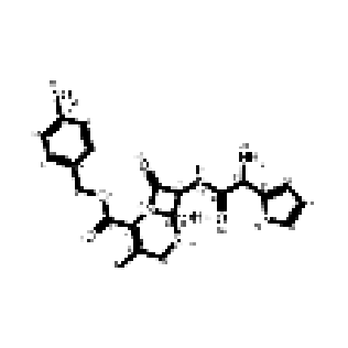 CC1=C(C(=O)OCc2ccc([N+](=O)[O-])cc2)N2C(=O)C(NC(=O)C(N)c3cccs3)[C@H]2SC1